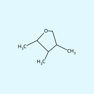 CC1COC(C)C1C